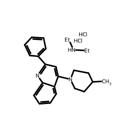 CC1CCN(c2cc(-c3ccccc3)nc3ccccc23)CC1.CCNCC.Cl.Cl